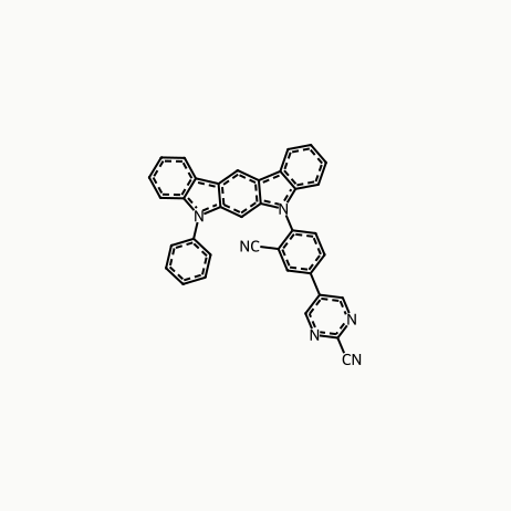 N#Cc1ncc(-c2ccc(-n3c4ccccc4c4cc5c6ccccc6n(-c6ccccc6)c5cc43)c(C#N)c2)cn1